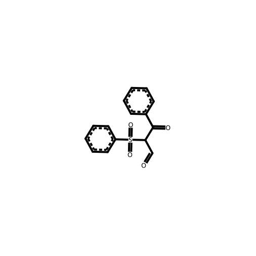 O=CC(C(=O)c1ccccc1)S(=O)(=O)c1ccccc1